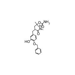 CNC(=O)C(Cc1ccc(OCc2ccccc2)c(O)c1)CC(C)(C)OC(N)=O